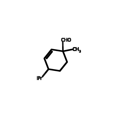 CC(C)C1C=CC(C)(C=O)CC1